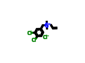 C=CC[N+](C)(C)Cc1ccc(Cl)c(Cl)c1.[Cl-]